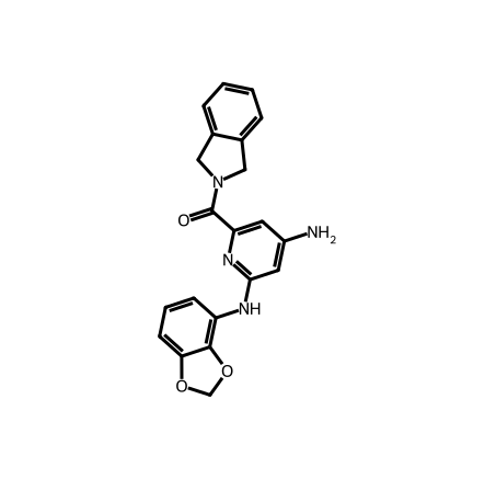 Nc1cc(Nc2cccc3c2OCO3)nc(C(=O)N2Cc3ccccc3C2)c1